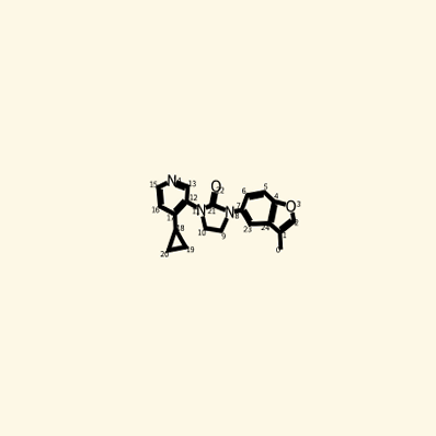 Cc1coc2ccc(N3CCN(c4cnccc4C4CC4)C3=O)cc12